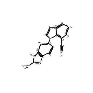 Cc1nc2ccc(-n3ccc4cccc(C#N)c43)cc2s1